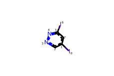 Ic1cnnc(I)c1